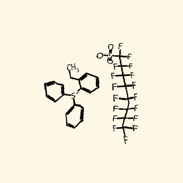 CCc1ccccc1[S+](c1ccccc1)c1ccccc1.O=S(=O)([O-])C(F)(F)C(F)(F)C(F)(F)C(F)(F)C(F)(F)C(F)(F)C(F)(F)C(F)(F)F